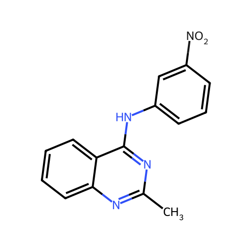 Cc1nc(Nc2cccc([N+](=O)[O-])c2)c2ccccc2n1